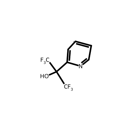 OC(c1c[c]ccn1)(C(F)(F)F)C(F)(F)F